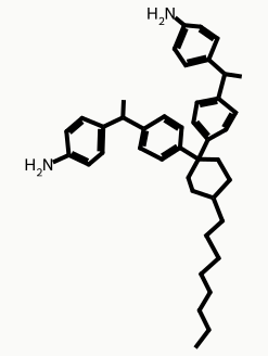 CCCCCCCCC1CCC(c2ccc(C(C)c3ccc(N)cc3)cc2)(c2ccc(C(C)c3ccc(N)cc3)cc2)CC1